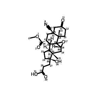 COC(=O)[C@@H]1C[C@]2(C#N)CC(=O)CC[C@]2(C)C23O[C@@H]2C[C@@]2(C)[C@@H](CC[C@@]2(O)CCC(=O)O)[C@H]13